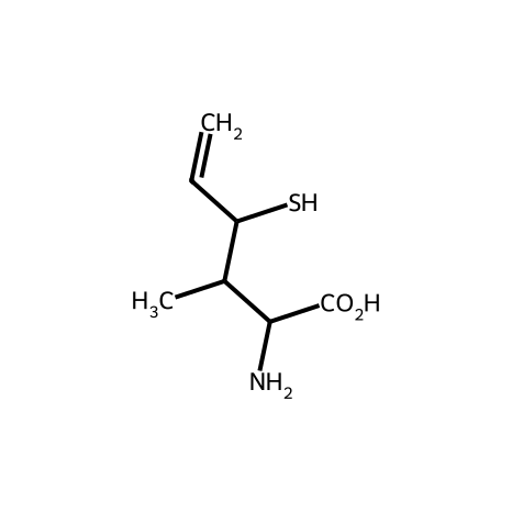 C=CC(S)C(C)C(N)C(=O)O